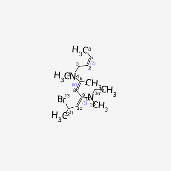 C/C=C\CN(C)/C(C)=C/C(=C\C(C)Br)N(C)CC